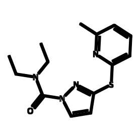 CCN(CC)C(=O)n1ccc(Sc2cccc(C)n2)n1